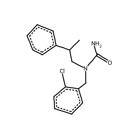 CC(CN(Cc1ccccc1Cl)C(N)=O)c1ccccc1